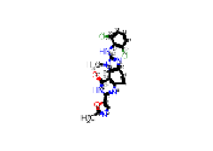 Cc1ncc(-c2nc3ccc4nc(Nc5c(Cl)cccc5Cl)n(C)c4c3c(=O)[nH]2)o1